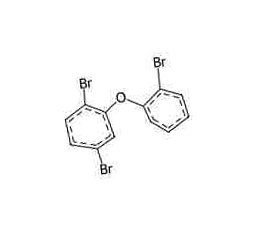 Brc1ccc(Br)c(Oc2ccccc2Br)c1